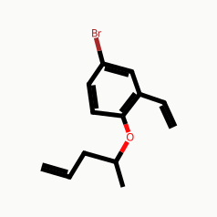 C=CCC(C)Oc1ccc(Br)cc1C=C